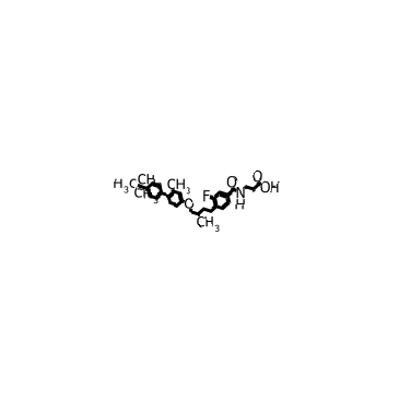 Cc1cc(OCC(C)CCc2ccc(C(=O)NCCC(=O)O)cc2F)ccc1-c1ccc(C(C)(C)C)cc1